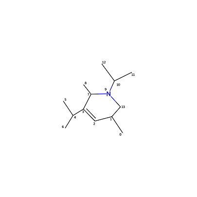 CC1C=C(C(C)C)C(C)N(C(C)C)C1